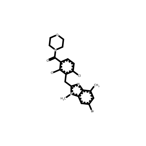 Cc1cc(Br)cc2c1nc(Cc1c(Cl)ccc(C(=O)N3CCOCC3)c1Cl)n2C